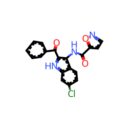 O=C(Nc1c(C(=O)c2ccccc2)[nH]c2cc(Cl)ccc12)c1ccno1